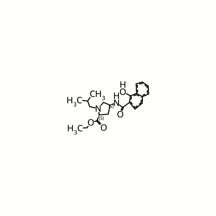 CCOC(=O)[C@@H]1C[C@H](NC(=O)c2ccc3ccccc3c2O)CN1CC(C)C